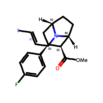 COC(=O)[C@H]1[C@@H](c2ccc(F)cc2)C[C@@H]2CC[C@H]1N2C/C=C/I